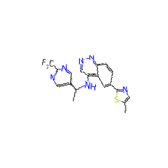 Cc1cnc(-c2ccc3nncc(NC(C)c4cnc(C(F)(F)F)nc4)c3c2)s1